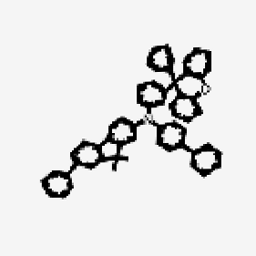 CC1(C)c2cc(-c3ccccc3)ccc2-c2ccc(N(c3ccc(-c4ccccc4)cc3)c3cccc(C4(c5ccccc5)c5ccccc5Oc5ccccc54)c3)cc21